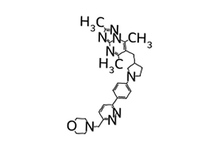 Cc1nc2nc(C)c(CC3CCN(c4ccc(-c5ccc(CN6CCOCC6)nn5)cc4)C3)c(C)n2n1